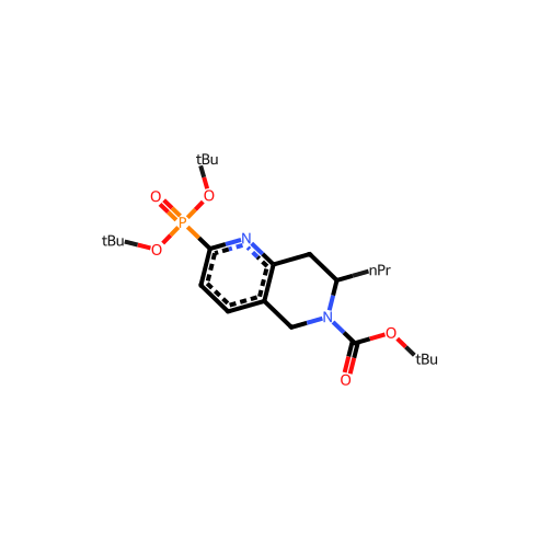 CCCC1Cc2nc(P(=O)(OC(C)(C)C)OC(C)(C)C)ccc2CN1C(=O)OC(C)(C)C